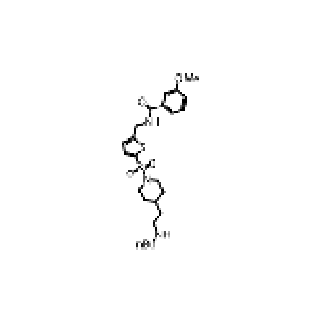 CCCCNCCC1CCN(S(=O)(=O)c2ccc(CNC(=O)c3cccc(OC)c3)s2)CC1